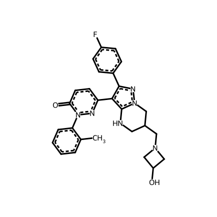 Cc1ccccc1-n1nc(-c2c(-c3ccc(F)cc3)nn3c2NCC(CN2CC(O)C2)C3)ccc1=O